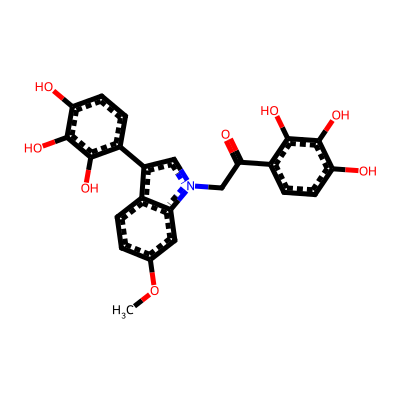 COc1ccc2c(-c3ccc(O)c(O)c3O)cn(CC(=O)c3ccc(O)c(O)c3O)c2c1